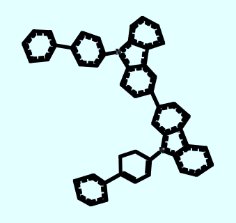 C1=C(c2ccccc2)CCC(n2c3ccccc3c3ccc(-c4ccc5c(c4)c4ccccc4n5-c4ccc(-c5ccccc5)cc4)cc32)=C1